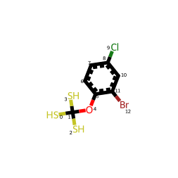 SC(S)(S)Oc1ccc(Cl)cc1Br